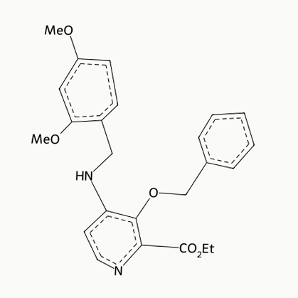 CCOC(=O)c1nccc(NCc2ccc(OC)cc2OC)c1OCc1ccccc1